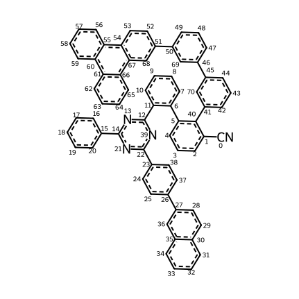 N#Cc1cccc(-c2ccccc2-c2nc(-c3ccccc3)nc(-c3ccc(-c4ccc5ccccc5c4)cc3)n2)c1-c1cccc(-c2cccc(-c3ccc4c5ccccc5c5ccccc5c4c3)c2)c1